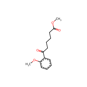 COC(=O)CCCCC(=O)c1ccccc1OC